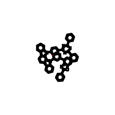 c1ccc(-c2nc(-c3ccccc3)nc(-c3ccc(-n4c5ccccc5c5ccc6c7ccccc7n(-c7cccc(-c8cccc9oc(-c%10ccccc%10)nc89)c7)c6c54)cc3)n2)cc1